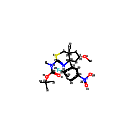 CO[C@H]1C[C@H]2CSC(N(C)C(=O)OC(C)(C)C)=N[C@@]2(c2cc([N+](=O)[O-])ccc2F)C1